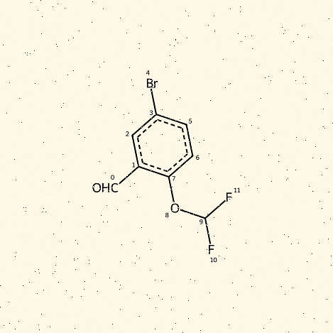 O=Cc1cc(Br)ccc1OC(F)F